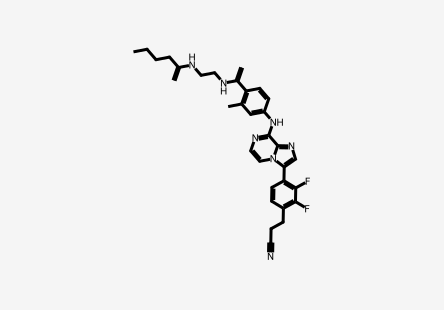 C=C(CCCC)NCCNC(=C)c1ccc(Nc2nccn3c(-c4ccc(CCC#N)c(F)c4F)cnc23)cc1C